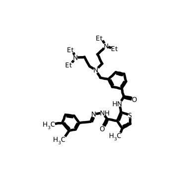 CCN(CC)CCN(CCN(CC)CC)Cc1cccc(C(=O)Nc2scc(C)c2C(=O)N/N=C/c2ccc(C)c(C)c2)c1